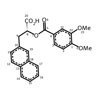 COc1ccc(C(=O)O[C@H](Cc2ccc3ccccc3c2)C(=O)O)cc1OC